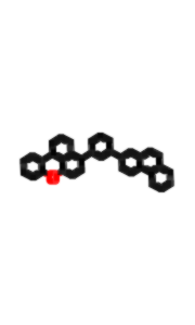 c1cc(-c2ccc3c(ccc4ccccc43)c2)cc(-c2ccc3c4c(cccc24)-c2ccccc2O3)c1